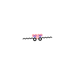 CCCCCCCCc1cccc(Oc2cccc(CCCCCCCC)c2[N+](=O)[O-])c1[N+](=O)[O-]